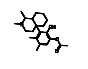 CC(=O)Oc1cc(C)c(C)c(C23CCCCC2C(C)N(C)CC3)c1O